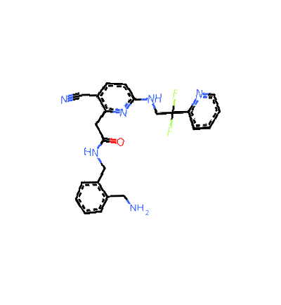 N#Cc1ccc(NCC(F)(F)c2ccccn2)nc1CC(=O)NCc1ccccc1CN